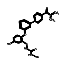 CN(C)C(=O)c1ccc(-c2cccc(Oc3ccc(C#N)cc3SNC(=O)NC(C)(C)C)c2)cc1